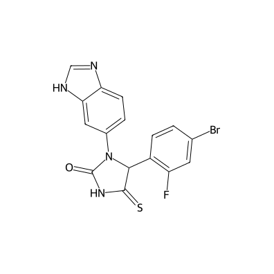 O=C1NC(=S)C(c2ccc(Br)cc2F)N1c1ccc2nc[nH]c2c1